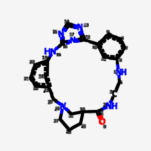 O=C1NCCNc2cccc(c2)-c2ncnc(n2)Nc2cccc(c2)CN2CCCC1C2